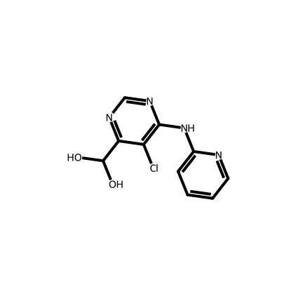 OC(O)c1ncnc(Nc2ccccn2)c1Cl